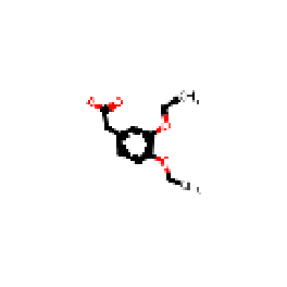 CCOc1ccc(CC([O])=O)cc1OCC